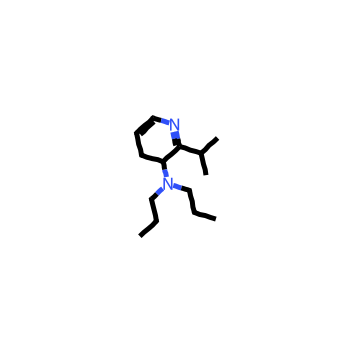 CCCN(CCC)C1CC=CN=C1C(C)C